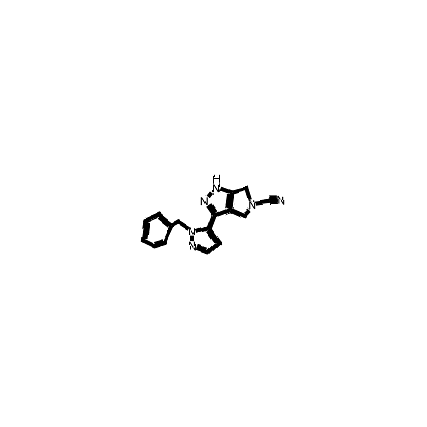 N#CN1Cc2[nH]nc(-c3ccnn3Cc3ccccc3)c2C1